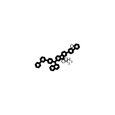 CC1(C)c2cc(-c3ccc4c(c3)oc3ccccc34)ccc2-c2ccc(C(c3ccc(-c4cccc(-c5ccccc5)c4)cc3)c3cccc4ccccc34)cc21